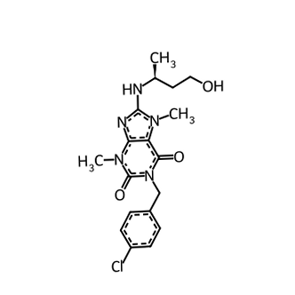 C[C@@H](CCO)Nc1nc2c(c(=O)n(Cc3ccc(Cl)cc3)c(=O)n2C)n1C